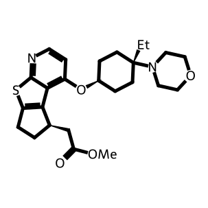 CC[C@]1(N2CCOCC2)CC[C@H](Oc2ccnc3sc4c(c23)[C@@H](CC(=O)OC)CC4)CC1